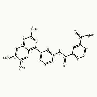 CNc1nc(-c2cccc(NC(=O)c3cccc(C(=O)OC)c3)c2)c2cc(OC)c(OC)cc2n1